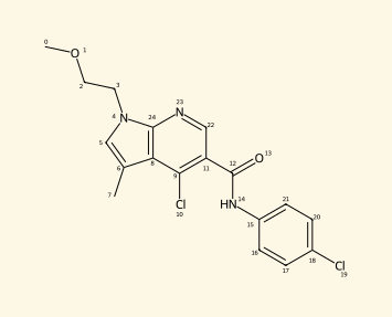 COCCn1cc(C)c2c(Cl)c(C(=O)Nc3ccc(Cl)cc3)cnc21